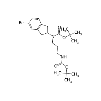 CC(C)(C)OC(=O)NCCCN(C(=O)OC(C)(C)C)C1Cc2ccc(Br)cc2C1